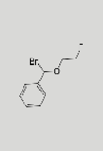 FCCOC(Br)c1ccccc1